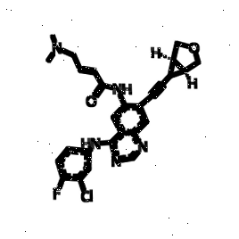 CN(C)CC=CC(=O)Nc1cc2c(Nc3ccc(F)c(Cl)c3)ncnc2cc1C#CC1[C@H]2COC[C@@H]12